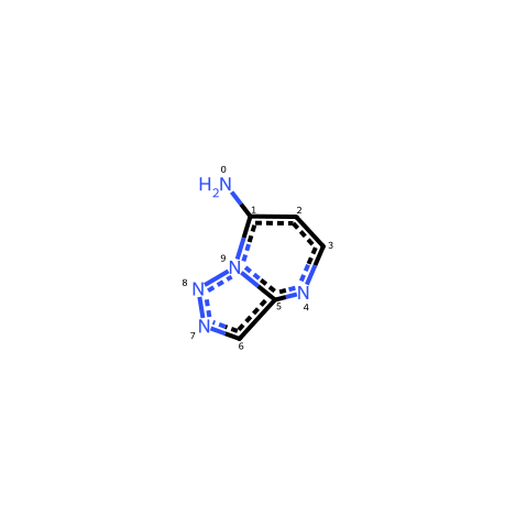 Nc1ccnc2cnnn12